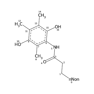 CCCCCCCCCCCC(=O)Nc1c(C)c(O)c(C)c(C)c1O